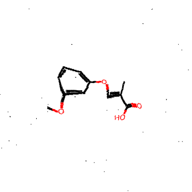 COc1cccc(O/C=C(\C)C(=O)O)c1